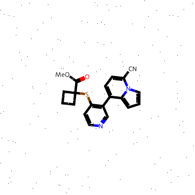 COC(=O)C1(Sc2ccncc2-c2ccc(C#N)n3cccc23)CCC1